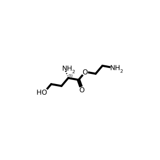 NCCOC(=O)[C@@H](N)CCO